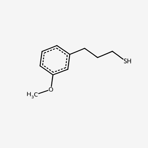 COc1cccc(CCCS)c1